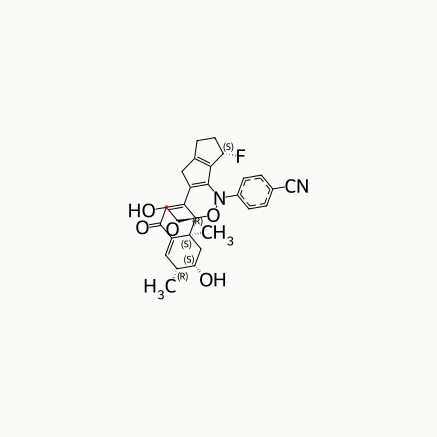 C[C@@H]1C=C2C(=O)C=C3C4=C(C5=C(CC[C@@H]5F)C4)N(c4ccc(C#N)cc4)O[C@]3(C(=O)CO)[C@@]2(C)C[C@@H]1O